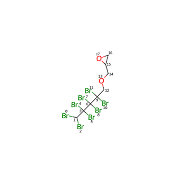 BrC(Br)C(Br)(Br)C(Br)(Br)C(Br)(Br)COCC1CO1